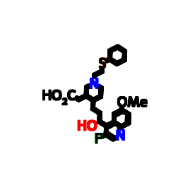 COc1ccc2ncc(F)c([C@H](O)CCC3CCN(CCSC4CCCCC4)CC3CC(=O)O)c2c1